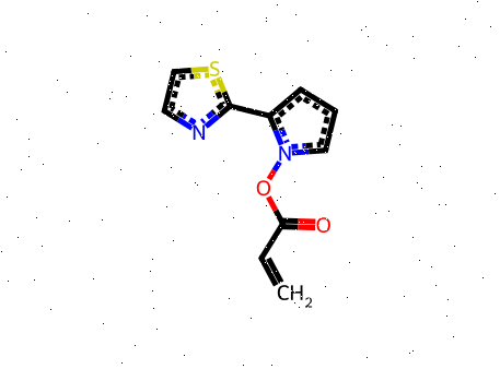 C=CC(=O)On1cccc1-c1nccs1